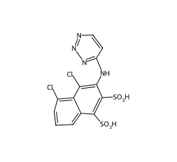 O=S(=O)(O)c1c(Nc2ccnnn2)c(Cl)c2c(Cl)cccc2c1S(=O)(=O)O